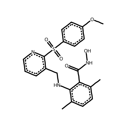 COc1ccc(S(=O)(=O)c2ncccc2CNc2c(C)ccc(C)c2C(=O)NO)cc1